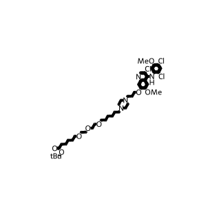 COc1cc(Nc2c(C#N)cnc3cc(OCCCN4CCN(CCCCCCOCCOCCOCCCCCC(=O)OC(C)(C)C)CC4)c(OC)cc23)c(Cl)cc1Cl